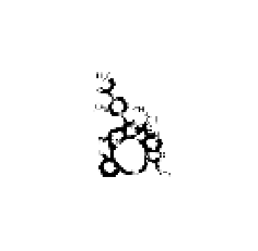 C=CC(=O)N1C[C@H](C)N(c2nc(=O)n3c4nc(c(F)cc24)-c2c(F)cccc2CCCN(C(N)=O)c2ccnc(C(C)C)c2-3)C[C@H]1C